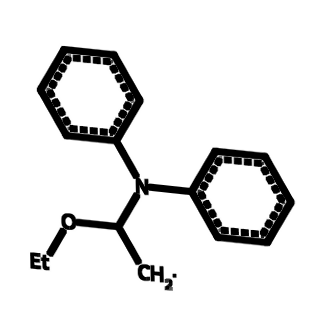 [CH2]C(OCC)N(c1ccccc1)c1ccccc1